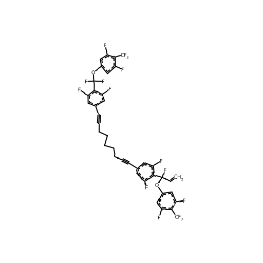 C=CC(F)(Oc1cc(F)c(C(F)(F)F)c(F)c1)c1c(F)cc(C#CCCCCCC#Cc2cc(F)c(C(F)(F)Oc3cc(F)c(C(F)(F)F)c(F)c3)c(F)c2)cc1F